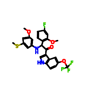 COc1cc(NC(C(=O)c2c[nH]c3ccc(OC(F)(F)F)cc23)c2ccc(F)cc2OC)cc(SC)c1